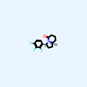 O=C1CCC[C@H]2CC[C@@H](c3ccc(F)c(F)c3F)N12